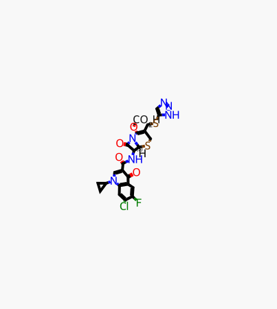 O=C(O)OC1=C(CSc2cnn[nH]2)CS[C@H]2C(NC(=O)c3cn(C4CC4)c4cc(Cl)c(F)cc4c3=O)C(=O)N12